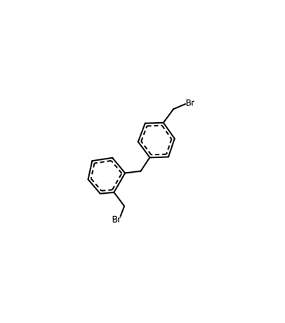 BrCc1ccc(Cc2ccccc2CBr)cc1